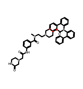 CN(CCN1CCC(OC(=O)N(c2ccccc2-c2ccccc2)c2ccccc2-c2ccccc2)CC1)C(=O)c1cccc(NC(=O)CN2CCNC(=O)C2)c1